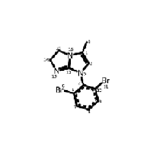 CC1=CN(c2c(Br)cccc2Br)C2=NCCN12